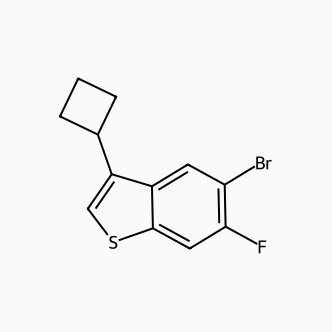 Fc1cc2scc(C3CCC3)c2cc1Br